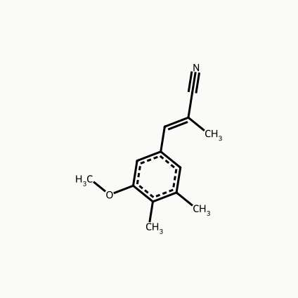 COc1cc(/C=C(\C)C#N)cc(C)c1C